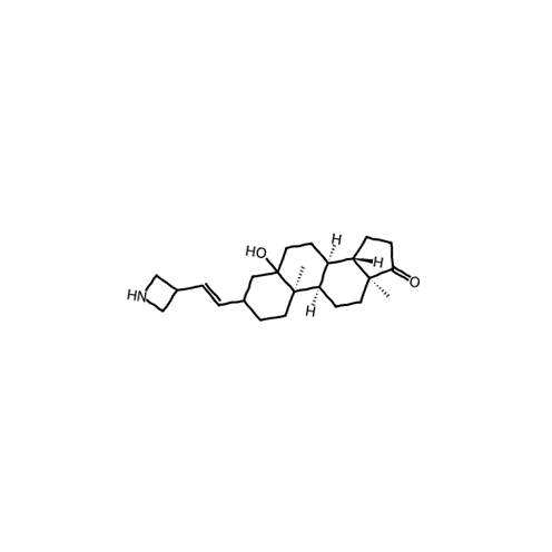 C[C@]12CC[C@@H]3[C@@H](CCC4(O)CC(C=CC5CNC5)CC[C@]34C)[C@@H]1CCC2=O